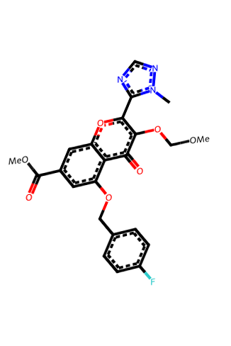 COCOc1c(-c2ncnn2C)oc2cc(C(=O)OC)cc(OCc3ccc(F)cc3)c2c1=O